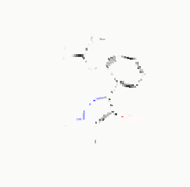 Cc1c(O)c(-c2ccccc2SC(C)C)nn1C